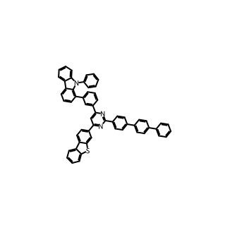 c1ccc(-c2ccc(-c3ccc(-c4nc(-c5cccc(-c6cccc7c8ccccc8n(-c8ccccc8)c67)c5)cc(-c5ccc6c(c5)sc5ccccc56)n4)cc3)cc2)cc1